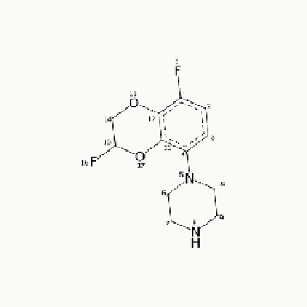 Fc1ccc(N2CCNCC2)c2c1OCC(F)O2